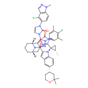 Cc1cc(-n2nc3c(c2-n2ccn(-c4ccc5c(cnn5C)c4F)c2=O)[C@H]2CCC[C@@H](C3)N2C(=O)c2cc3cc([C@H]4CCOC(C)(C)C4)ccc3n2[C@@]2(c3noc(=O)[nH]3)C[C@@H]2C)cc(C)c1F